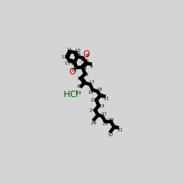 CC(=CCC1=C(C)C(=O)c2ccccc2C1=O)CCCC(C)CCCC(C)CCCC(C)C.Cl